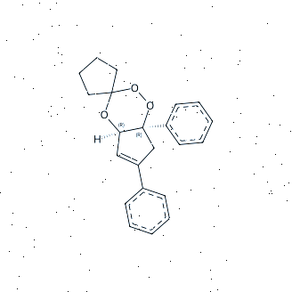 C1=C(c2ccccc2)C[C@]2(c3ccccc3)OOC3(CCCC3)O[C@H]12